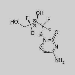 Nc1ccn([C@@H]2O[C@](F)(CO)[C@@H](O)C2(F)F)c(=O)n1